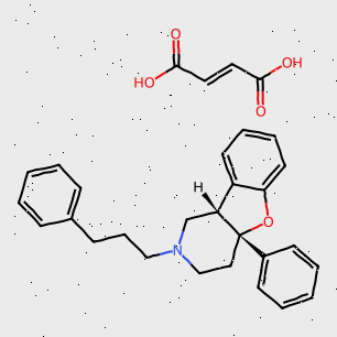 O=C(O)C=CC(=O)O.c1ccc(CCCN2CC[C@@]3(c4ccccc4)Oc4ccccc4[C@H]3C2)cc1